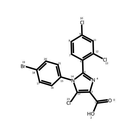 O=C(O)c1nc(-c2ccc(Cl)cc2Cl)n(-c2ccc(Br)cc2)c1Cl